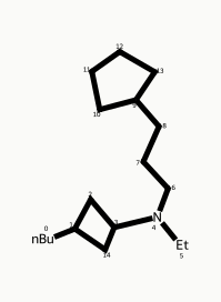 CCCCC1CC(N(CC)CCCC2CCCC2)C1